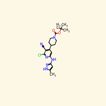 Cc1cc(Nc2cc(C3CCN(C(=O)OC(C)(C)C)CC3)c(C#N)c(Cl)n2)n[nH]1